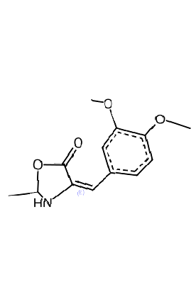 COc1ccc(/C=C2/NC(C)OC2=O)cc1OC